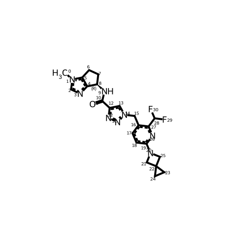 Cn1cnc2c1CC[C@H]2NC(=O)c1cn(Cc2ccc(N3CC4(CC4)C3)nc2C(F)F)nn1